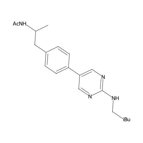 CCC(C)CNc1ncc(-c2ccc(CC(C)NC(C)=O)cc2)cn1